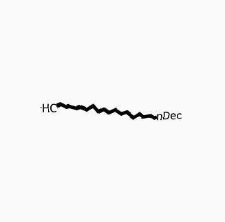 [CH]=CC=CC=CCCCCCCCCCCCCCCCCCCCCCCC